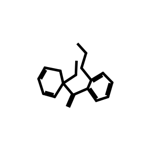 C=C(c1ccccc1CCC)C1(CC)C=CC=CC1